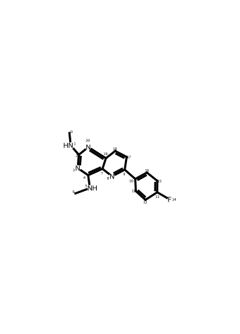 CNc1nc(NC)c2nc(-c3ccc(F)cc3)ccc2n1